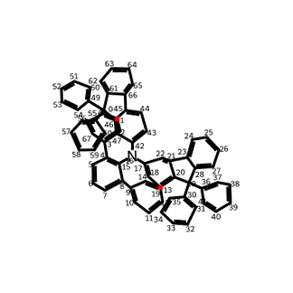 c1ccc(-c2cccc(-c3ccccc3)c2N(c2ccc3c(c2)-c2ccccc2C3(c2ccccc2)c2ccccc2)c2ccc3c(c2)C(c2ccccc2)(c2ccccc2)c2ccccc2-3)cc1